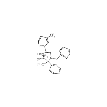 CCOC(C(N)=O)(c1ccccc1)N(Cc1ccccc1)CC(O)c1cccc(C(F)(F)F)c1